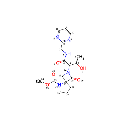 C[C@@H](O)[C@@H](C(=O)NCc1ncccn1)N1CC2(CCCN2C(=O)OC(C)(C)C)C1=O